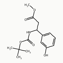 COC(=O)CC(NC(=O)OC(C)(C)C)c1cccc(O)c1